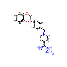 N=C(NN)C1CCN(Cc2ccc([C@H]3COc4ccccc4O3)cc2)CC1